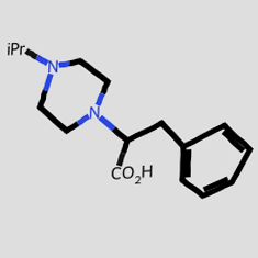 CC(C)N1CCN(C(Cc2ccccc2)C(=O)O)CC1